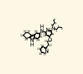 CCCN(CCC)c1cc(OCCc2ccccn2)cc(Nc2ccc3[nH]c4c(c3c2)CCCC4)n1